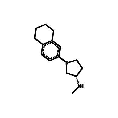 CN[C@H]1CCN(c2ccc3c(c2)CCCC3)C1